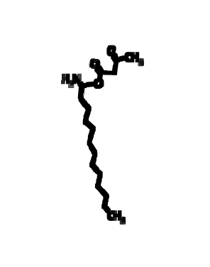 CCCCCCCCCCCCC(N)OC(=O)CC(C)=O